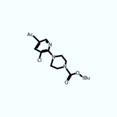 CC(=O)c1cnc(N2CCN(C(=O)OC(C)(C)C)CC2)c(Cl)c1